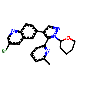 Cc1cccc(-c2c(-c3ccc4ncc(Br)cc4c3)cnn2C2CCCCO2)n1